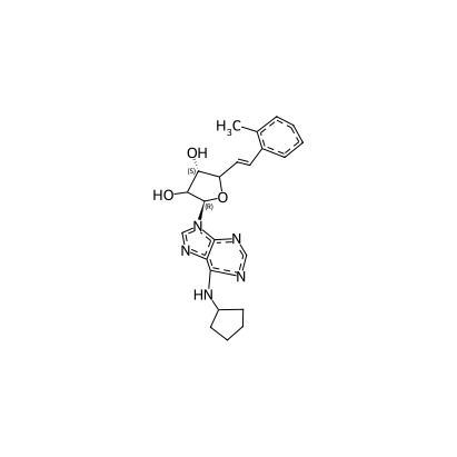 Cc1ccccc1C=CC1O[C@@H](n2cnc3c(NC4CCCC4)ncnc32)C(O)[C@@H]1O